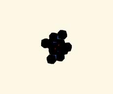 c1ccc(N(c2ccccc2)c2cccc3c4cc5ccccc5c5c6cc7c(cc6n(c23)c45)c2cc3ccccc3c3c4cccc(N(c5ccccc5)c5ccccc5)c4n7c23)cc1